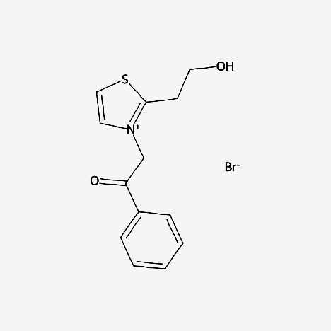 O=C(C[n+]1ccsc1CCO)c1ccccc1.[Br-]